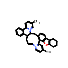 Cc1ccc2[n+](c1)C1Cc3ccc4c5c(oc4c3-c3cc(C(C)(C)C)cc[n+]3/C=C/CC1c1ccccc1-2)CCCC5